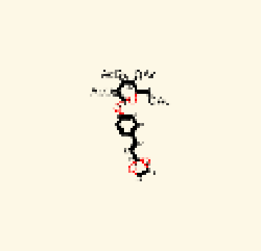 CC(=O)OCC1O[C@@H](Oc2ccc(/C=C/C3OCCO3)cc2)C(OC(C)=O)[C@@H](OC(C)=O)[C@H]1OC(C)=O